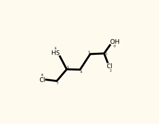 OC(Cl)CCC(S)CCl